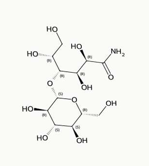 NC(=O)[C@H](O)[C@@H](O)[C@H](O[C@@H]1O[C@H](CO)[C@@H](O)[C@H](O)[C@H]1O)[C@H](O)CO